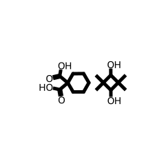 CC1(C)C(O)C(C)(C)C1O.O=C(O)C1(C(=O)O)CCCCC1